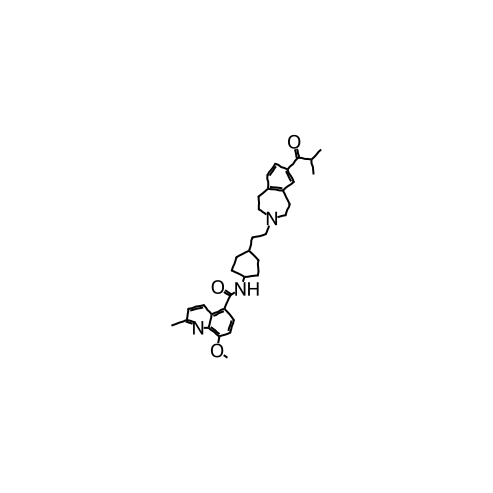 COc1ccc(C(=O)NC2CCC(CCN3CCc4ccc(C(=O)C(C)C)cc4CC3)CC2)c2ccc(C)nc12